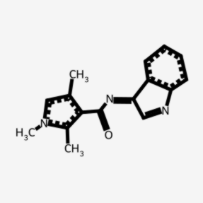 Cc1cn(C)c(C)c1C(=O)/N=C1\C=Nc2ccccc21